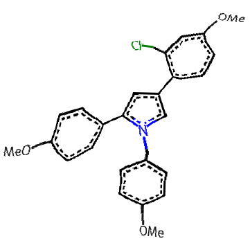 COc1ccc(-c2cc(-c3ccc(OC)cc3Cl)cn2-c2ccc(OC)cc2)cc1